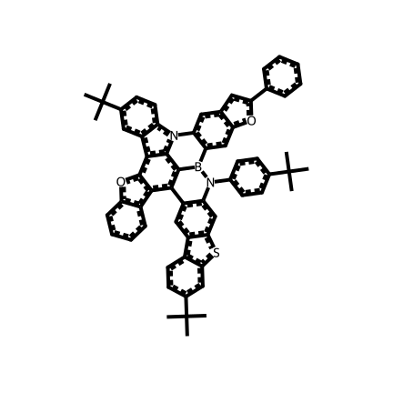 CC(C)(C)c1ccc(N2B3c4cc5oc(-c6ccccc6)cc5cc4-n4c5ccc(C(C)(C)C)cc5c5c6oc7ccccc7c6c(c3c54)-c3cc4c(cc32)sc2cc(C(C)(C)C)ccc24)cc1